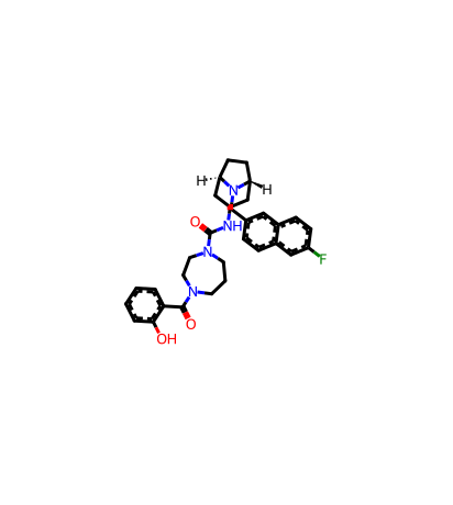 O=C(NC1C[C@H]2CC[C@H](C1)N2Cc1ccc2cc(F)ccc2c1)N1CCCN(C(=O)c2ccccc2O)CC1